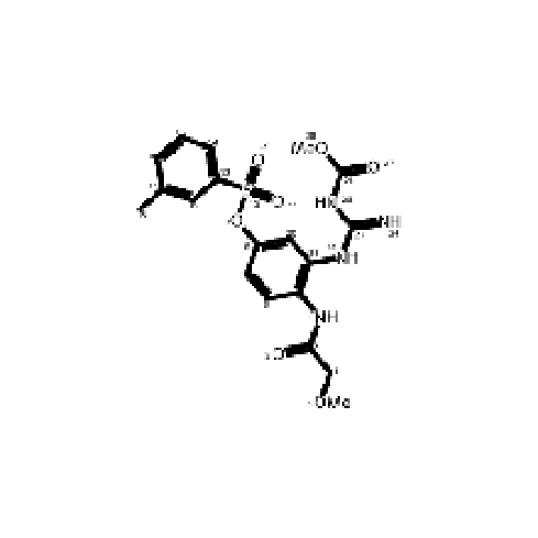 COCC(=O)Nc1ccc(OS(=O)(=O)c2cccc(C)c2)cc1NC(=N)NC(=O)OC